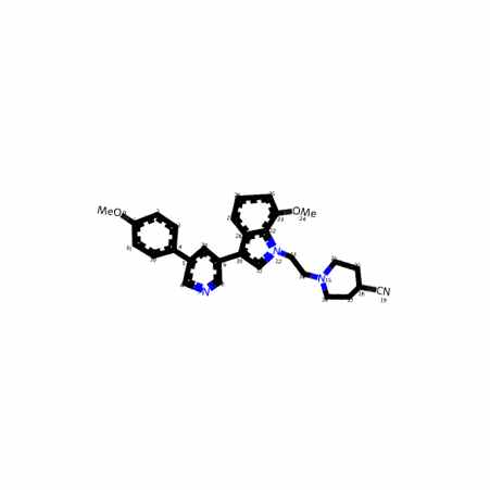 COc1ccc(-c2cncc(-c3cn(CCN4CCC(C#N)CC4)c4c(OC)cccc34)c2)cc1